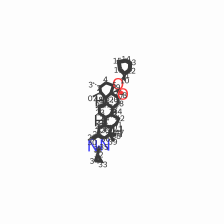 C[C@H]1[C@H](C)CC[C@]2(C(=O)OCc3ccccc3)CC[C@]3(C)C(=CC[C@@H]4[C@@]5(C)Cc6cnc(C7CC7)nc6C(C)(C)[C@@H]5CC[C@]43C)[C@H]12